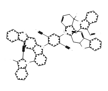 C=Cc1c(C=C)n(C2(C)CC=Cc3c2c2c(n3-c3cc(C#N)c(-n4c5cc6sc7ccccc7c6cc5c5c(-n6c(C#CC)c(C)c7ccccc76)cccc54)cc3C#N)CC3Sc4ccccc4C3=C2)c2ccccc12